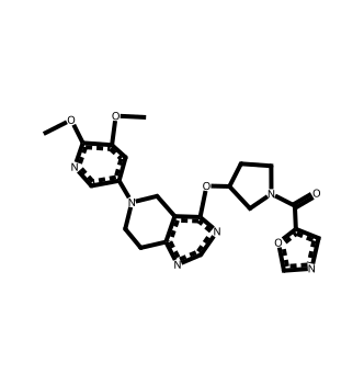 COc1cc(N2CCc3ncnc(OC4CCN(C(=O)c5cnco5)C4)c3C2)cnc1OC